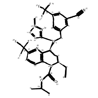 CC[C@@H]1C[C@H](N(Cc2cc(C#N)cc(C(F)(F)F)c2)c2nnn(C)n2)c2nc(C(F)(F)F)ccc2N1C(=O)OC(C)C